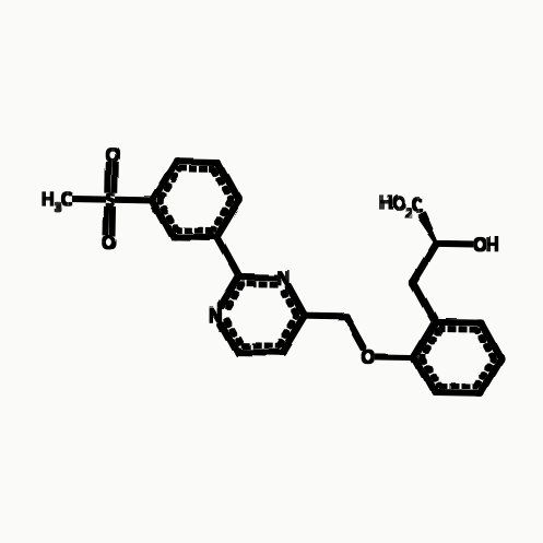 CS(=O)(=O)c1cccc(-c2nccc(COc3ccccc3C[C@H](O)C(=O)O)n2)c1